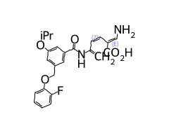 C=C(/C=C\C(=C/N)C(=O)O)NC(=O)c1cc(COc2ccccc2F)cc(OC(C)C)c1